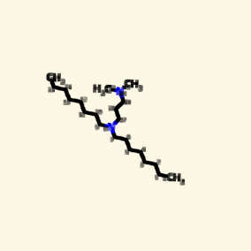 CCCCCCCCN(CCCCCCCC)CCCN(C)C